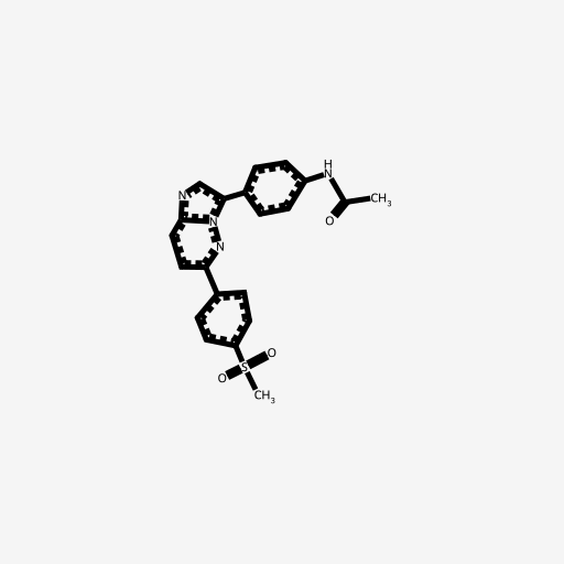 CC(=O)Nc1ccc(-c2cnc3ccc(-c4ccc(S(C)(=O)=O)cc4)nn23)cc1